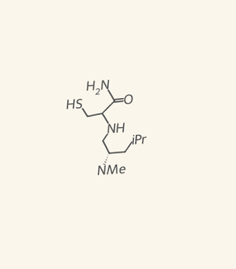 CN[C@H](CNC(CS)C(N)=O)CC(C)C